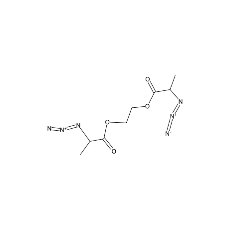 CC(N=[N+]=[N-])C(=O)OCCOC(=O)C(C)N=[N+]=[N-]